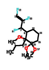 CCCC1(OC)C(C(F)C(F)=CF)CCC[Si]1(OC)OC